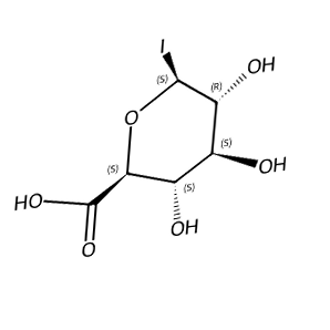 O=C(O)[C@H]1O[C@@H](I)[C@H](O)[C@@H](O)[C@@H]1O